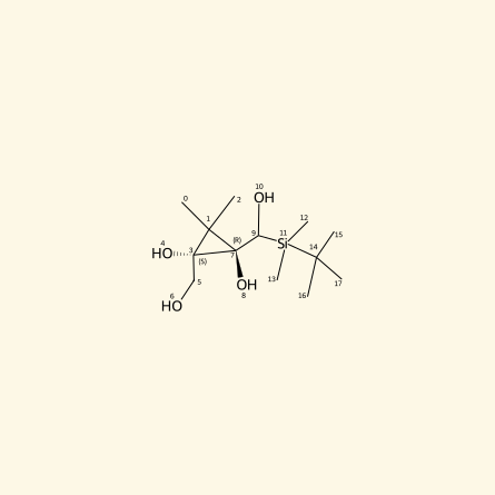 CC1(C)[C@](O)(CO)[C@@]1(O)C(O)[Si](C)(C)C(C)(C)C